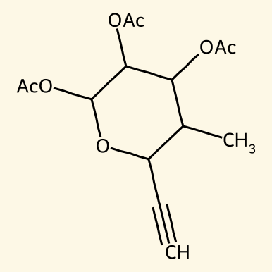 C#CC1OC(OC(C)=O)C(OC(C)=O)C(OC(C)=O)C1C